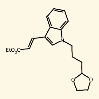 CCOC(=O)C=Cc1cn(CCCC2OCCO2)c2ccccc12